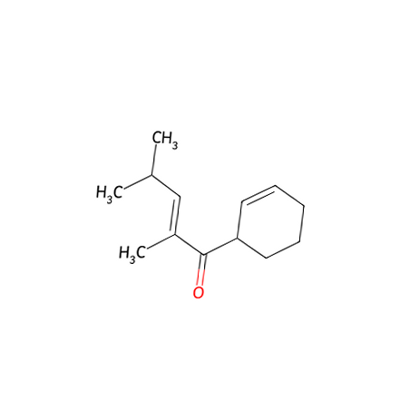 CC(=CC(C)C)C(=O)C1C=CCCC1